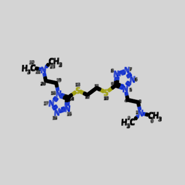 CN(C)CCn1nnnc1SCCSc1nnnn1CCN(C)C